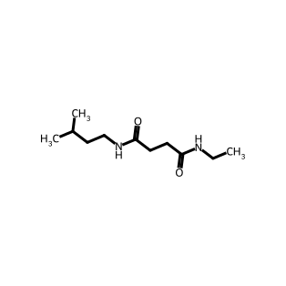 CCNC(=O)CCC(=O)NCCC(C)C